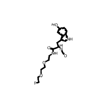 O=CNC(Cc1c[nH]c2ccc(O)cc12)C(=O)NCCOCCOCCF